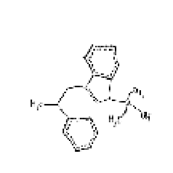 CC(CC1=CC([Si](C)(C)O)c2ccccc21)c1ccccc1